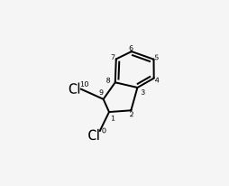 ClC1Cc2ccccc2C1Cl